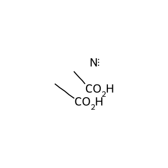 CC(=O)O.CC(=O)O.[N]